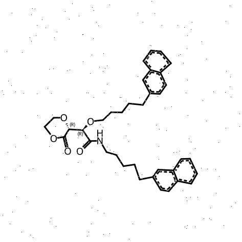 O=C(NCCCCCc1ccc2ccccc2c1)[C@H](OCCCCCc1ccc2ccccc2c1)[C@H]1OCCOC1=O